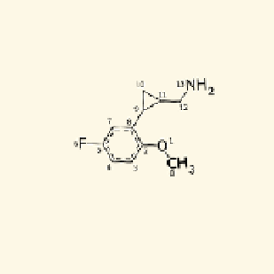 COc1ccc(F)cc1C1CC1CN